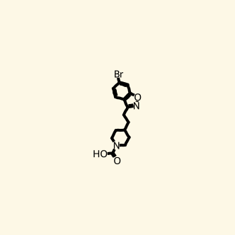 O=C(O)N1CCC(CCc2noc3cc(Br)ccc23)CC1